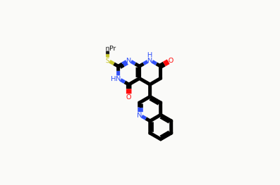 CCCSc1nc2c(c(=O)[nH]1)C(c1cnc3ccccc3c1)CC(=O)N2